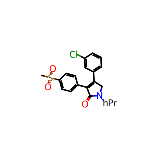 CCCN1CC(c2cccc(Cl)c2)=C(c2ccc(S(C)(=O)=O)cc2)C1=O